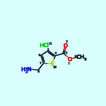 COC(=O)c1ccc(CN)s1.Cl